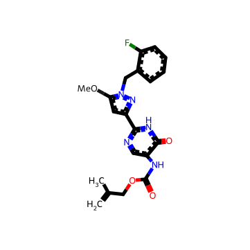 C=C(C)COC(=O)Nc1cnc(-c2cc(OC)n(Cc3ccccc3F)n2)[nH]c1=O